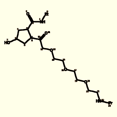 CCNC(=O)C1CC(O)CN1C(=O)COCCOCCOCCNC(C)C